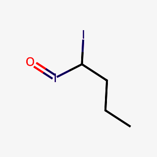 CCCC(I)I=O